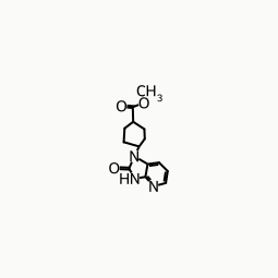 COC(=O)C1CCC(n2c(=O)[nH]c3ncccc32)CC1